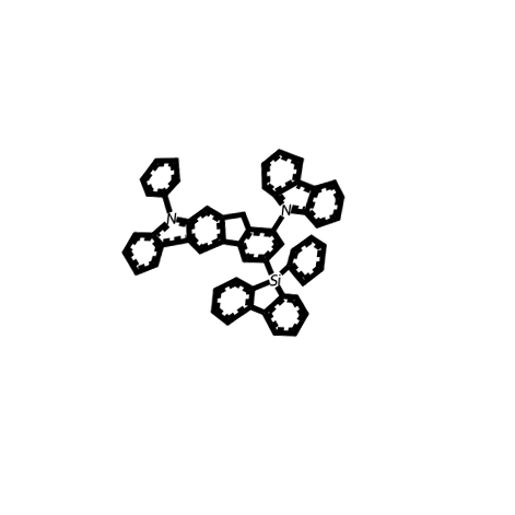 c1ccc(-n2c3ccccc3c3cc4c(cc32)Cc2c-4cc([Si]3(c4ccccc4)c4ccccc4-c4ccccc43)cc2-n2c3ccccc3c3ccccc32)cc1